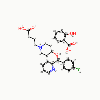 O=C(O)CCCN1CCC(O[C@@H](c2ccc(Cl)cc2)c2ccccn2)CC1.O=C(O)c1ccccc1O